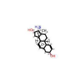 C[C@]12CC[C@H]3[C@@H](C=CC4C[C@H](O)C=C[C@@]43C)[C@@H]1C[C@H](O)[C@@H]2N